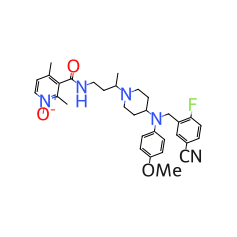 COc1ccc(N(Cc2cc(C#N)ccc2F)C2CCN(C(C)CCNC(=O)c3c(C)cc[n+]([O-])c3C)CC2)cc1